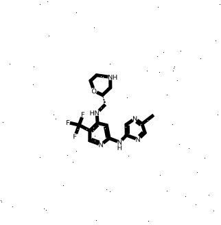 Cc1cnc(Nc2cc(NC[C@H]3CNCCO3)c(C(F)(F)F)cn2)cn1